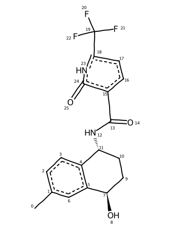 Cc1ccc2c(c1)[C@H](O)CC[C@H]2NC(=O)c1ccc(C(F)(F)F)[nH]c1=O